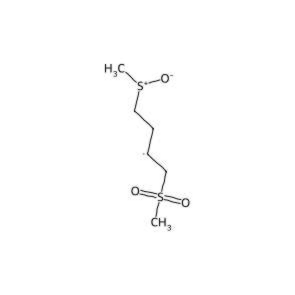 C[S+]([O-])CC[CH]CS(C)(=O)=O